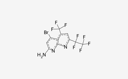 Nc1cc(Br)c2c(C(F)(F)F)cc(C(F)(F)C(F)(F)F)nc2n1